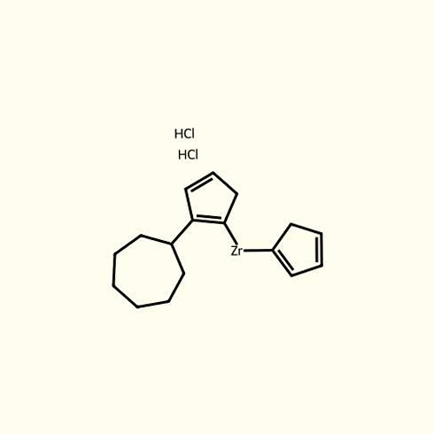 C1=CC[C]([Zr][C]2=C(C3CCCCCC3)C=CC2)=C1.Cl.Cl